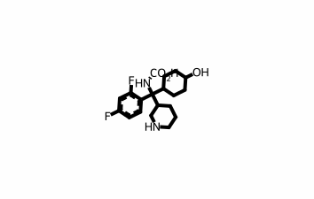 O=C(O)NC(c1ccc(F)cc1F)(C1CCC(O)CC1)C1CCCNC1